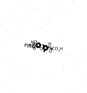 Cc1cc(NC(=O)C(=O)O)cc(C)c1Oc1ccc(O)c(S(=O)(=O)NCC(C)C)c1